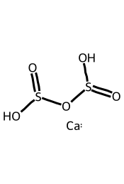 O=S(O)OS(=O)O.[Ca]